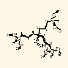 CO[Si](C)(CCCC(CCC[Si](C)(OC)OC)(CCC[Si](C)(OC)OC)O[SiH3])OC